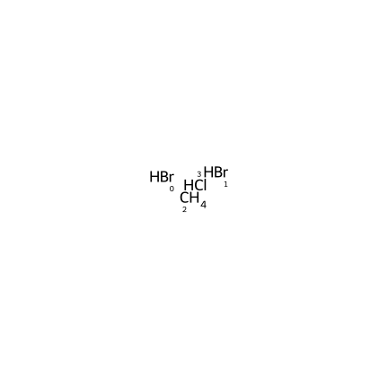 Br.Br.C.Cl